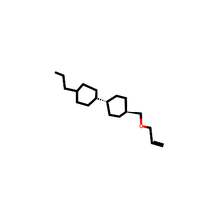 C=CCOC[C@H]1CC[C@H](C2CCC(CCC)CC2)CC1